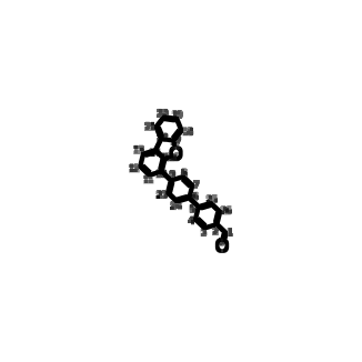 O=Cc1ccc(-c2ccc(-c3cccc4c3oc3ccccc34)cc2)cc1